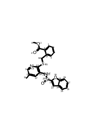 COC(=O)c1ccccc1CSc1ncc(C)cc1N[S+]([O-])c1cc2ccccc2o1